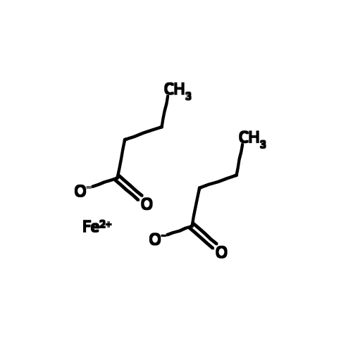 CCCC(=O)[O-].CCCC(=O)[O-].[Fe+2]